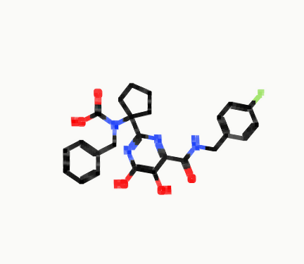 O=C(NCc1ccc(F)cc1)c1nc(C2(N(Cc3ccccc3)C(=O)O)CCCC2)nc(O)c1O